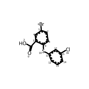 O=C(O)c1cc(Br)ccc1Sc1cccc(Cl)c1